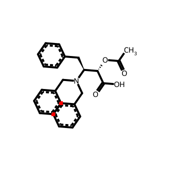 CC(=O)O[C@H](C(=O)O)[C@H](Cc1ccccc1)N(Cc1ccccc1)Cc1ccccc1